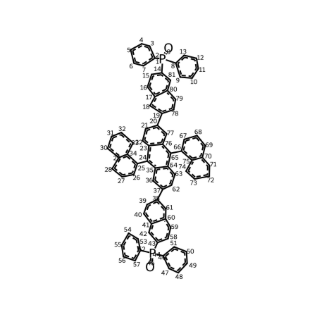 O=P(c1ccccc1)(c1ccccc1)c1ccc2cc(-c3ccc4c(-c5cccc6ccccc56)c5cc(-c6ccc7cc(P(=O)(c8ccccc8)c8ccccc8)ccc7c6)ccc5c(-c5cccc6ccccc56)c4c3)ccc2c1